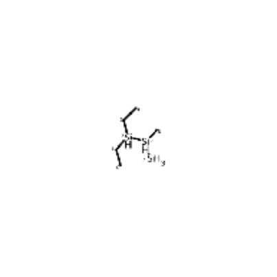 CC[SiH](CC)[SiH](C)[SiH3]